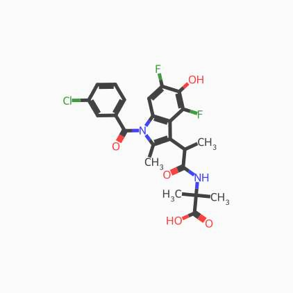 Cc1c(C(C)C(=O)NC(C)(C)C(=O)O)c2c(F)c(O)c(F)cc2n1C(=O)c1cccc(Cl)c1